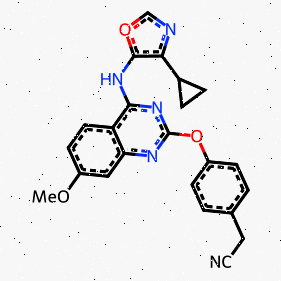 COc1ccc2c(Nc3ocnc3C3CC3)nc(Oc3ccc(CC#N)cc3)nc2c1